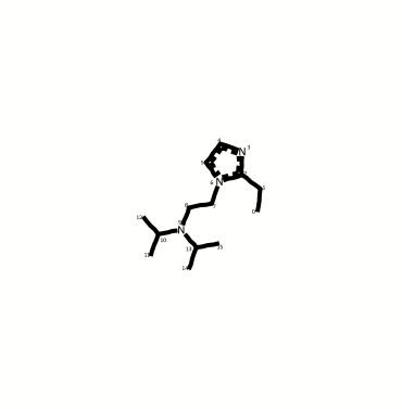 CCc1nccn1CCN(C(C)C)C(C)C